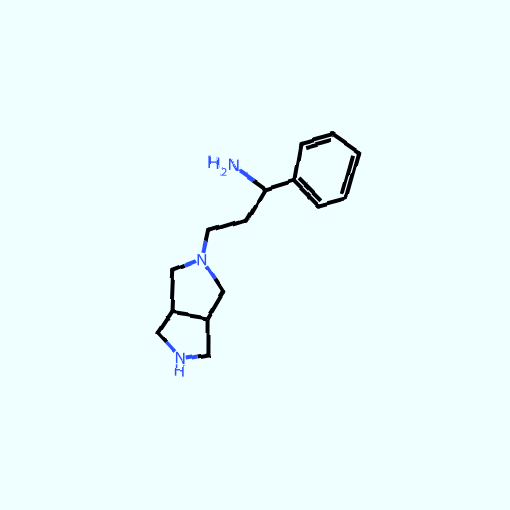 NC(CCN1CC2CNCC2C1)c1ccccc1